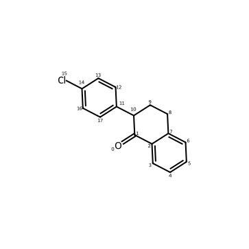 O=C1c2ccccc2CCC1c1ccc(Cl)cc1